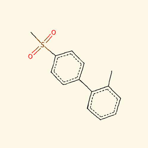 Cc1ccccc1-c1ccc(S(C)(=O)=O)cc1